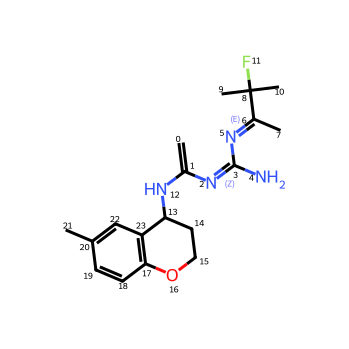 C=C(/N=C(N)\N=C(/C)C(C)(C)F)NC1CCOc2ccc(C)cc21